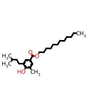 CCCCCCCCCCCCOC(=O)c1cc(C)c(O)c(CCC(C)C)c1